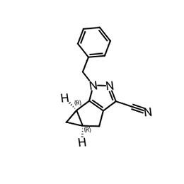 N#Cc1nn(Cc2ccccc2)c2c1C[C@H]1C[C@@H]21